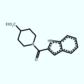 CCOC(=O)C1CCN(C(=O)c2cc3ccccc3[nH]2)CC1